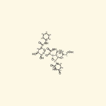 CCCCCCCCCCCC(=O)O[C@@H]1[C@H](CO)[C@@H]([C@@H](O[C@H]2OC(C(=O)Nc3ccccc3)=C[C@H](O)[C@@H]2O)C(N)=O)O[C@H]1n1ccc(=O)[nH]c1=O